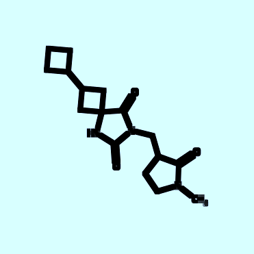 CN1CCC(CN2C(=O)NC3(CC(C4CCC4)C3)C2=O)C1=O